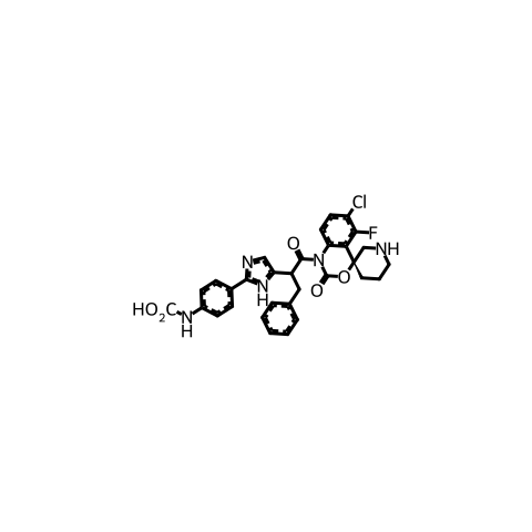 O=C(O)Nc1ccc(-c2ncc(C(Cc3ccccc3)C(=O)N3C(=O)O[C@]4(CCCNC4)c4c3ccc(Cl)c4F)[nH]2)cc1